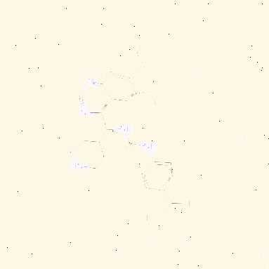 COc1cc2ncnc(C(NC(=O)Nc3ccc(C(C)C)cc3)C3CCNCC3)c2cc1OC